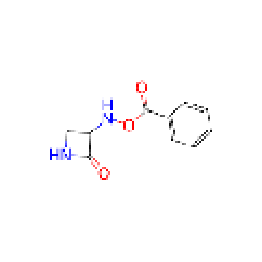 O=C(ONC1CNC1=O)c1ccccc1